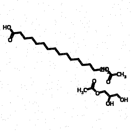 CC(=O)O.CC(=O)OCC(O)CO.CCCCCCCCCCCCCCCC(=O)O